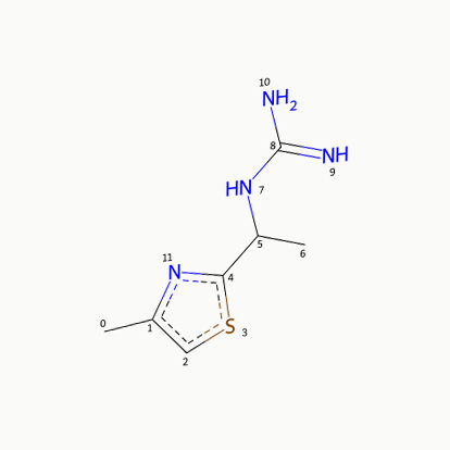 Cc1csc(C(C)NC(=N)N)n1